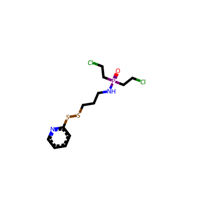 O=P(CCCl)(CCCl)NCCCSSc1ccccn1